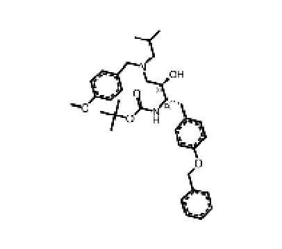 COc1ccc(CN(CC(C)C)C[C@@H](O)[C@H](Cc2ccc(OCc3ccccc3)cc2)NC(=O)OC(C)(C)C)cc1